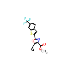 COC(=O)c1nc(-c2cc3ccc(C(F)(F)F)cc3s2)oc1C1CC1